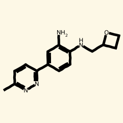 Cc1ccc(-c2ccc(NCC3CCO3)c(N)c2)nn1